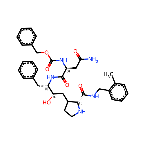 Cc1ccccc1CNC(=O)[C@@H]1NCCC1C[C@H](O)[C@H](Cc1ccccc1)NC(=O)[C@H](CC(N)=O)NC(=O)OCc1ccccc1